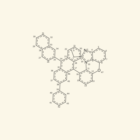 CCc1nc2cccc3c2n1-c1c(cccc1-c1c2ccccc2c(-c2ccc4ccccc4c2)c2ccc(-c4ccccc4)cc12)O3